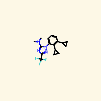 CN(C)c1nc(C(F)(F)F)nn1-c1cccc(C2CC2)c1C1CC1